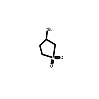 CC(C)(C)C1CCS(=O)(=O)C1